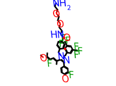 CO/C(C)=C(F)/C=C(\C)c1c(-c2ccc(OC)c(F)c2)nc(-c2cc(C(F)(F)F)cc(C(F)(F)F)c2)n1Cc1ccc(C(=O)NCCOCCOCCN)cc1